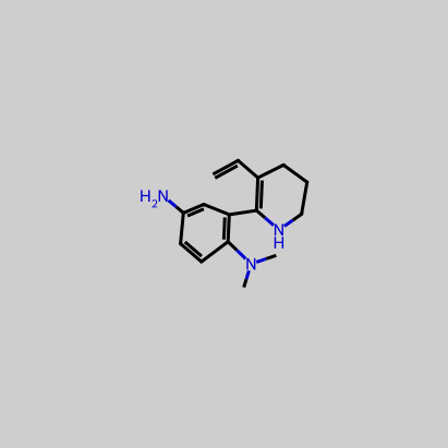 C=CC1=C(c2cc(N)ccc2N(C)C)NCCC1